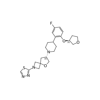 Fc1ccc(O[C@H]2CCOC2)c(C2CCN([C@@H]3COC4(C3)CN(c3nncs3)C4)CC2)c1